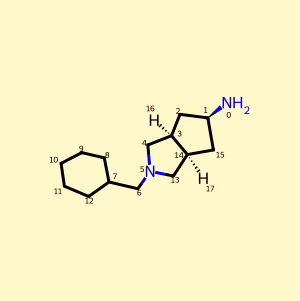 N[C@@H]1C[C@@H]2CN(CC3CCCCC3)C[C@@H]2C1